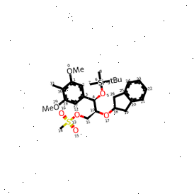 COc1cc([C@@H](O[Si](C)(C)C(C)(C)C)[C@H](COS(C)(=O)=O)OC2Cc3ccccc3C2)cc(OC)c1C